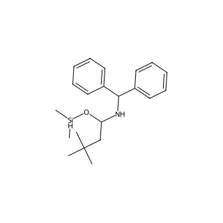 C[SiH](C)OC(CC(C)(C)C)NC(c1ccccc1)c1ccccc1